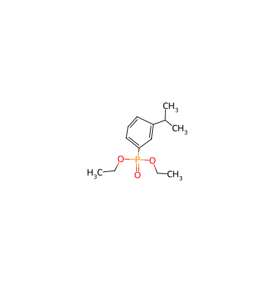 CCOP(=O)(OCC)c1cccc(C(C)C)c1